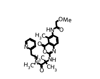 COCC(=O)Nc1ccc2nc(NC(C)(C)C(=O)N(C)CCc3ccccn3)oc(=O)c2c1C